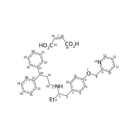 CCC(Cc1ccc(OCc2ccccn2)cc1)NCCC(c1ccccc1)c1ccccc1.O=C(O)/C=C\C(=O)O